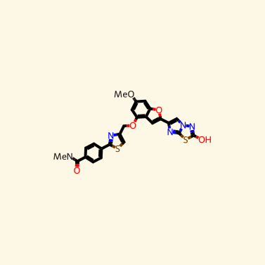 CNC(=O)c1ccc(-c2nc(COc3cc(OC)cc4oc(-c5cn6nc(O)sc6n5)cc34)cs2)cc1